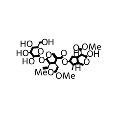 C=C[C@H]1[C@H](O[C@@H]2O[C@H](CO)[C@@H](O)[C@H](O)[C@H]2O)OC=C(C(=O)O[C@H]2C[C@H]3[C@H](COC(O)[C@@H]3C(=O)OC)[C@H]2C)[C@H]1CC(OC)OC